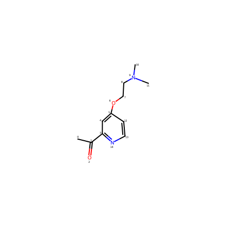 CC(=O)c1cc(OCCN(C)C)ccn1